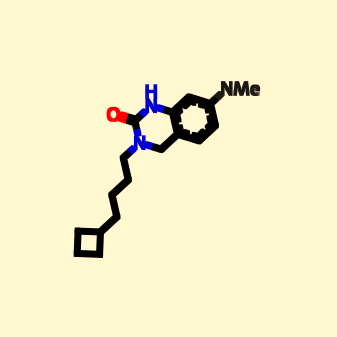 CNc1ccc2c(c1)NC(=O)N(CCCCC1CCC1)C2